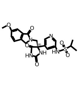 COc1ccc2c(c1)C(=O)N(C[C@@]1(c3cncc(NS(=O)(=O)C(C)C)c3)NC(=O)NC1=O)C2